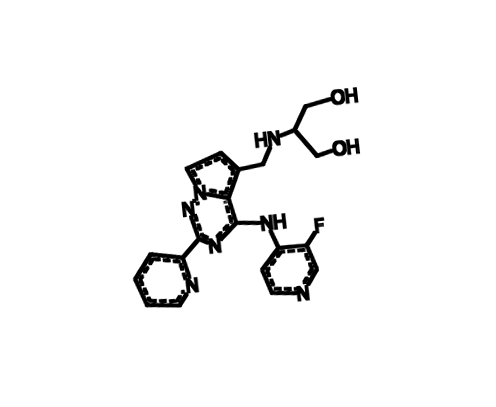 OCC(CO)NCc1ccn2nc(-c3ccccn3)nc(Nc3ccncc3F)c12